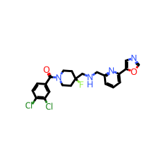 O=C(c1ccc(Cl)c(Cl)c1)N1CCC(F)(CNCc2cccc(-c3cnco3)n2)CC1